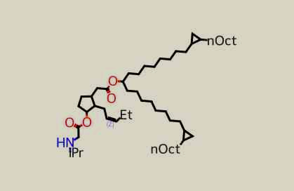 CC/C=C\CC1C(CC(=O)OC(CCCCCCCCC2CC2CCCCCCCC)CCCCCCCCC2CC2CCCCCCCC)CCC1OC(=O)CNC(C)C